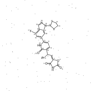 CC(C)C(C=C1OC(=O)NC1=O)c1ccc(-c2cc(F)c3cnn(C4CCCC4)c3c2)[nH]c1=O